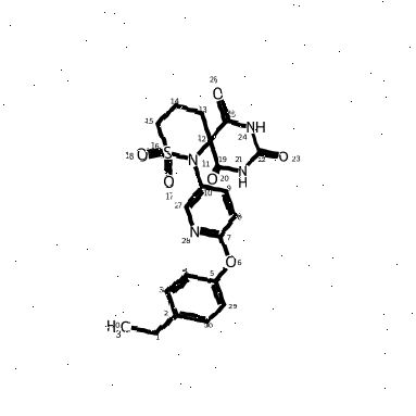 CCc1ccc(Oc2ccc(N3C4(CCCS3(=O)=O)C(=O)NC(=O)NC4=O)cn2)cc1